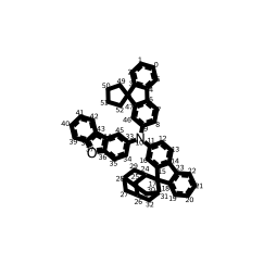 c1ccc2c(c1)-c1ccc(N(c3ccc4c(c3)C3(c5ccccc5-4)C4CC5CC(C4)CC3C5)c3ccc4oc5ccccc5c4c3)cc1C21CCCC1